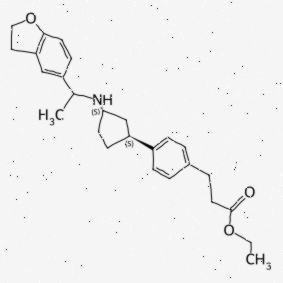 CCOC(=O)CCc1ccc([C@H]2CC[C@H](NC(C)c3ccc4c(c3)CCO4)C2)cc1